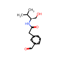 CC(C)[C@@H](CO)NC(=O)Cc1cccc(C=O)c1